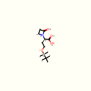 CC(C)(C)[Si](C)(C)OCC[C@H](C(=O)O)N1CCC1=O